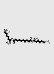 NCCCCCC(N)OC(=O)CCCCCCCCC(=O)OC(N)CCCCCN